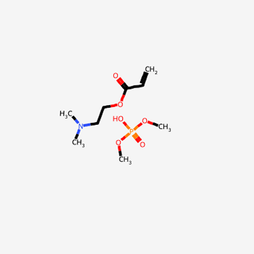 C=CC(=O)OCCN(C)C.COP(=O)(O)OC